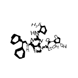 CCN(C(=O)[C@H]1OC[C@H](O)[C@@H]1O)n1cnc2c(NCC(c3ccccc3)c3ccccc3)nc(NC3CCCC3N)nc21